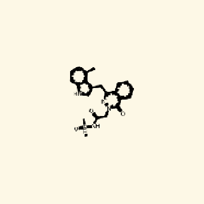 Cc1cccc2[nH]cc(Cc3nn(CC(=O)N[SH](C)(C)=O)c(=O)c4ccccc34)c12